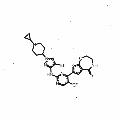 CCc1cn(C2CCN(C3CC3)CC2)nc1Nc1ncc(C(F)(F)F)c(-c2cc3c(s2)OCCNC3=O)n1